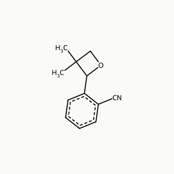 CC1(C)COC1c1ccccc1C#N